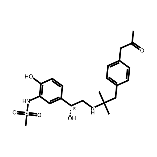 CC(=O)Cc1ccc(CC(C)(C)NC[C@H](O)c2ccc(O)c(NS(C)(=O)=O)c2)cc1